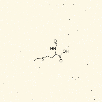 CCSCCC(NC=O)C(=O)O